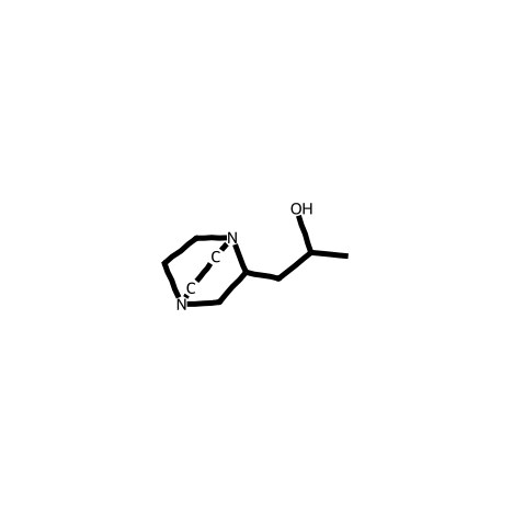 CC(O)CC1CN2CCN1CC2